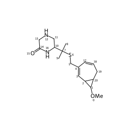 COC1C2C=C(CSC(C)(C)C3CNCC(=O)N3)C=CCC21